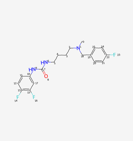 CN(CCCCNC(=O)Nc1ccc(F)c(F)c1)Cc1ccc(F)cc1